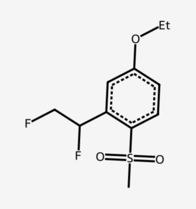 CCOc1ccc(S(C)(=O)=O)c(C(F)CF)c1